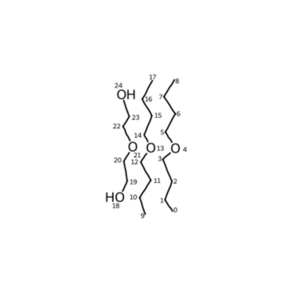 CCCCOCCCC.CCCCOCCCC.OCCOCCO